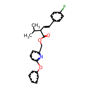 CC(C)C(C=Cc1ccc(F)cc1)C(=O)OCc1cccc(Oc2ccccc2)n1